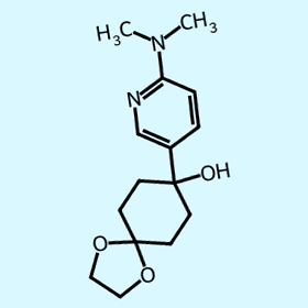 CN(C)c1ccc(C2(O)CCC3(CC2)OCCO3)cn1